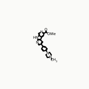 COC(=O)c1cc2c(cn1)[nH]c1ncc(-c3ccc(N4CCN(C)CC4)cc3)cc12